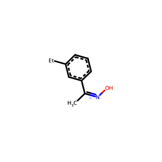 CCc1cccc(/C(C)=N\O)c1